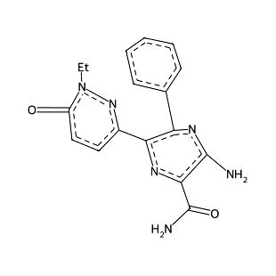 CCn1nc(-c2nc(C(N)=O)c(N)nc2-c2ccccc2)ccc1=O